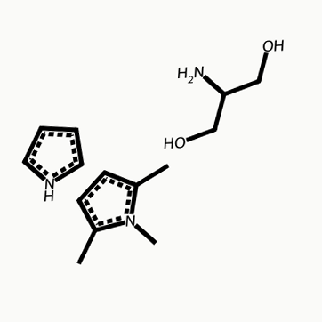 Cc1ccc(C)n1C.NC(CO)CO.c1cc[nH]c1